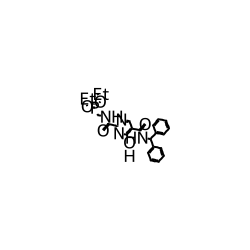 CCOP(CNC(=O)c1ncc(C(=O)NC(c2ccccc2)c2ccccc2)c(O)n1)OCC